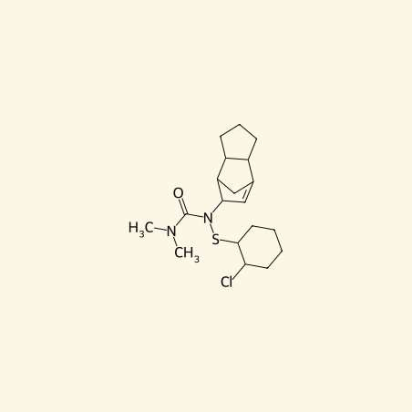 CN(C)C(=O)N(SC1CCCCC1Cl)C1C=C2CC1C1CCCC21